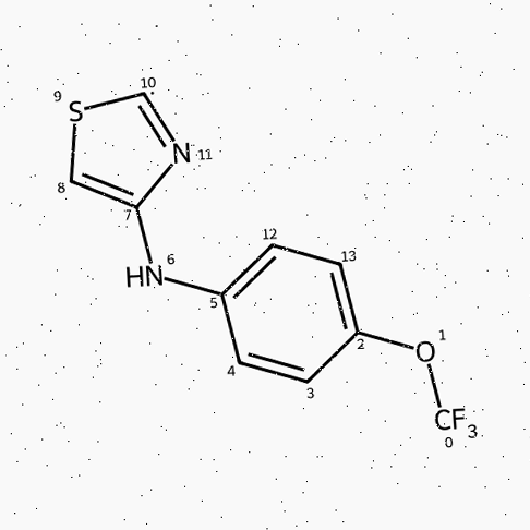 FC(F)(F)Oc1ccc(Nc2cs[c]n2)cc1